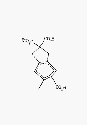 CCOC(=O)c1cc2c(cc1C)CC(C(=O)OCC)(C(=O)OCC)C2